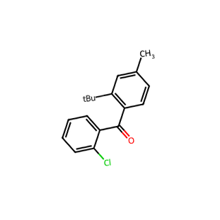 Cc1ccc(C(=O)c2ccccc2Cl)c(C(C)(C)C)c1